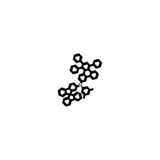 Cc1cc(C)cc(N(c2ccc3c(c2)C2(c4ccccc4-c4ccccc42)c2ccccc2-3)c2ccc3c(c2)c2ccccc2c2c(-c4ccccc4)cc(-c4ccccc4)c(-c4ccccc4)c32)c1